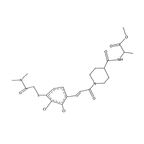 COC(=O)C(C)NC(=O)C1CCN(C(=O)C=Cc2ccc(SCC(=O)N(C)C)c(Cl)c2Cl)CC1